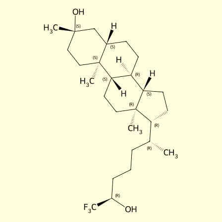 C[C@H](CCC[C@@H](O)C(F)(F)F)[C@H]1CC[C@H]2[C@@H]3CC[C@H]4C[C@@](C)(O)CC[C@]4(C)[C@H]3CC[C@]12C